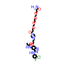 C=CC(=O)Nc1cc2c(Nc3ccc(F)c(Cl)c3)ncnc2cc1OCCCN1CCN(C(=O)CCOCCOCCOCCOCCC(N)=O)CC1